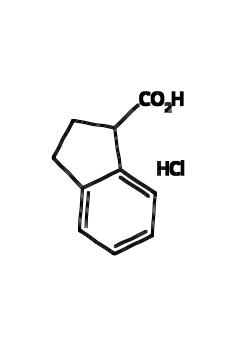 Cl.O=C(O)C1CCc2ccccc21